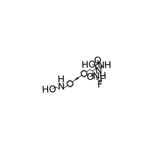 O=C(NCC(F)F)C(Cc1ccc(C#Cc2ccc(CNCCO)cc2)cc1)c1nc[nH]c(=O)c1O